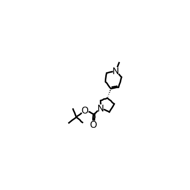 CN1CC=C([C@@H]2CCN(C(=O)OC(C)(C)C)C2)CC1